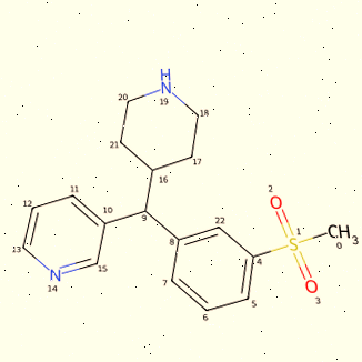 CS(=O)(=O)c1cccc(C(c2cccnc2)C2CCNCC2)c1